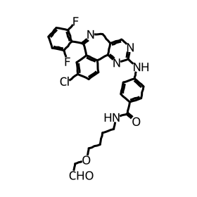 O=CCOCCCCNC(=O)c1ccc(Nc2ncc3c(n2)-c2ccc(Cl)cc2C(c2c(F)cccc2F)=NC3)cc1